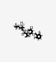 Cc1nc2c(OCc3c(F)cccc3F)cc(Cl)cn2c1C(=O)NCC(C)(N)CCC(C)(F)F